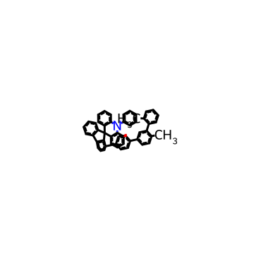 Cc1ccccc1-c1cc(-c2ccc(-c3cccc4c3C3(c5ccccc5-4)c4ccccc4N(c4ccccc4)c4ccccc43)cc2)ccc1C